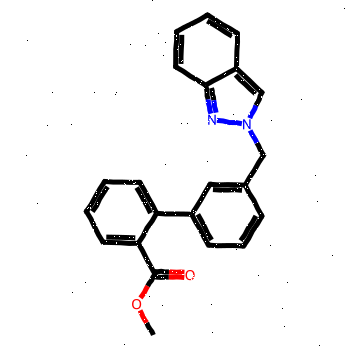 COC(=O)c1ccccc1-c1cccc(Cn2cc3ccccc3n2)c1